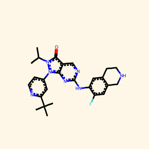 CC(C)n1c(=O)c2cnc(Nc3cc4c(cc3F)CNCC4)nc2n1-c1ccnc(C(C)(C)C)c1